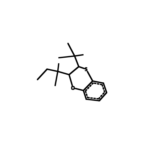 CCC(C)(C)C1Oc2ccccc2SC1C(C)(C)C